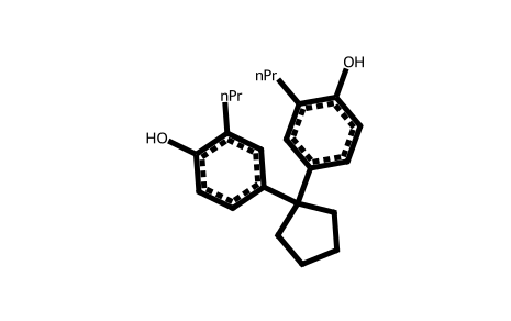 CCCc1cc(C2(c3ccc(O)c(CCC)c3)CCCC2)ccc1O